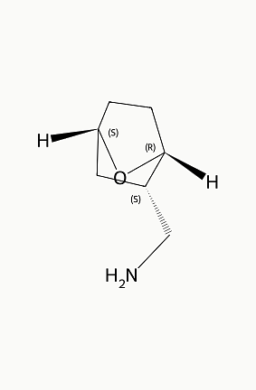 NC[C@@H]1C[C@@H]2CC[C@H]1O2